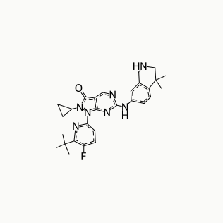 CC(C)(C)c1nc(-n2c3nc(Nc4ccc5c(c4)CNCC5(C)C)ncc3c(=O)n2C2CC2)ccc1F